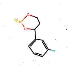 Fc1cccc(C2CCO[PH](=S)O2)c1